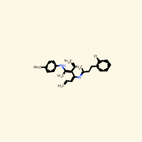 C=C/C=C(/N=C(\C)CCc1ccccc1CC)C(\C=C)=C(/C)Nc1ccc(OC)cc1